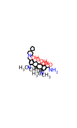 CN(C)c1cc(CN2CCC3(CCCC3)CC2)c(O)c2c1C[C@H]1C[C@H]3[C@H](N(C)C)C=C(C(N)=O)C(=O)[C@@]3(O)C(O)=C1C2=O